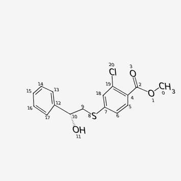 COC(=O)c1ccc(SC[C@H](O)c2ccccc2)cc1Cl